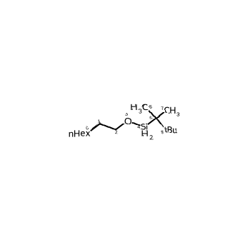 [CH2]CCCCCCCO[SiH2]C(C)(C)C(C)(C)C